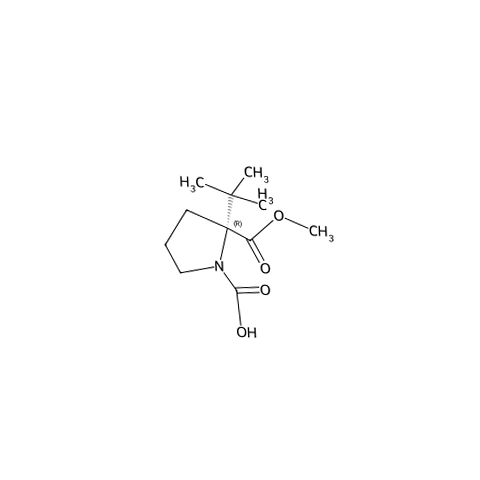 COC(=O)[C@]1(C(C)(C)C)CCCN1C(=O)O